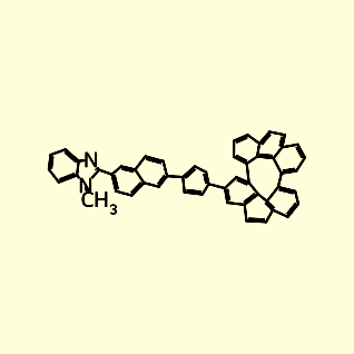 Cn1c(-c2ccc3cc(-c4ccc(-c5cc6ccc7cccc8c9cccc%10ccc%11cccc(c(c5)c6c78)c%11c%109)cc4)ccc3c2)nc2ccccc21